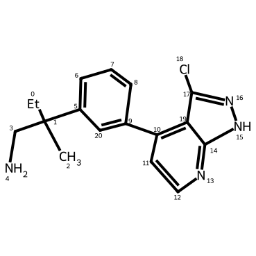 CCC(C)(CN)c1cccc(-c2ccnc3[nH]nc(Cl)c23)c1